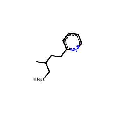 CCCCCCCCC(C)CCc1ccccn1